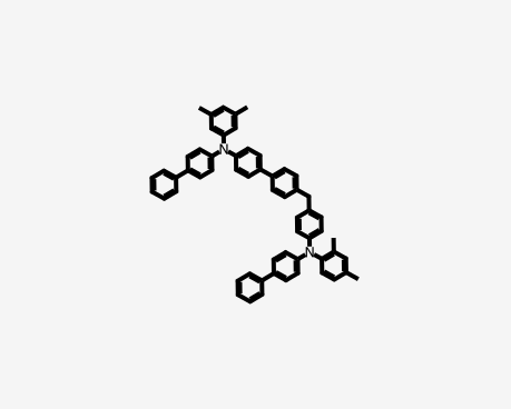 Cc1cc(C)cc(N(c2ccc(-c3ccccc3)cc2)c2ccc(-c3ccc(Cc4ccc(N(c5ccc(-c6ccccc6)cc5)c5ccc(C)cc5C)cc4)cc3)cc2)c1